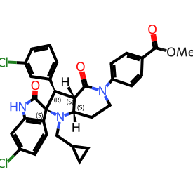 COC(=O)c1ccc(N2CC[C@H]3[C@@H](C2=O)[C@H](c2cccc(Cl)c2)[C@]2(C(=O)Nc4cc(Cl)ccc42)N3CC2CC2)cc1